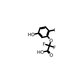 O=C(O)C(F)(F)Oc1cc(O)ccc1I